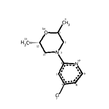 CC1CN(c2cc(Cl)ccn2)C[C@H](C)O1